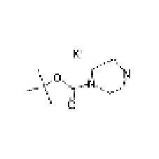 CC(C)(C)OC(=O)N1CC[N-]CC1.[K+]